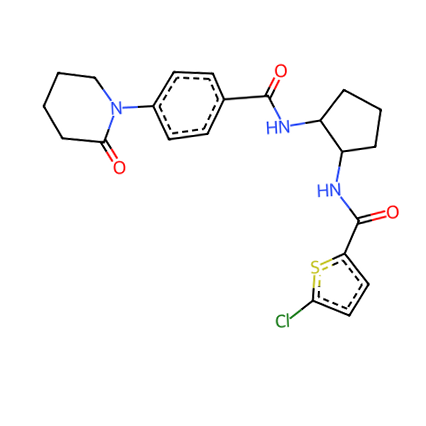 O=C(NC1CCCC1NC(=O)c1ccc(Cl)s1)c1ccc(N2CCCCC2=O)cc1